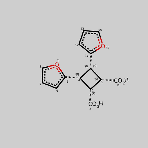 O=C(O)[C@@H]1[C@H](C(=O)O)[C@H](c2ccco2)[C@@H]1c1ccco1